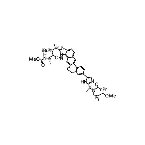 CCCC(=O)N(C[C@H](C)COC)[C@@H](C)c1ncc(-c2ccc3c(c2)COc2cc4c(ccc5nc([C@H](C)N(C(O)[C@H](C)NC(=O)OC)[C@@H](C)CC)[nH]c54)cc2-3)[nH]1